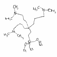 CCO[Si](CC)(CCC(CCCN(C)C)(CCCN(C)C)CCCN(C)C)OCC